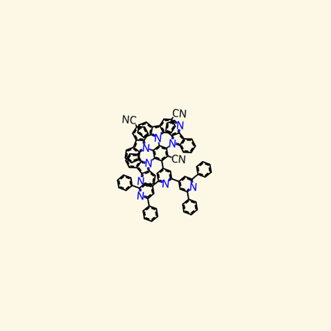 N#Cc1ccc2c(c1)c1ccccc1n2-c1c(-n2c3ccccc3c3cc(C#N)ccc32)c(-n2c3ccccc3c3ncccc32)c(-c2cc(-c3cc(-c4ccccc4)nc(-c4ccccc4)c3)nc(-c3cc(-c4ccccc4)nc(-c4ccccc4)c3)c2)c(C#N)c1-n1c2ccccc2c2ncccc21